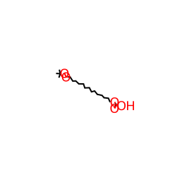 CC(C)(C)OOCCCCCCCCCCCCCCOC(=O)O